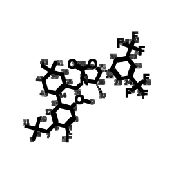 COc1cc(F)c(CC(C)(C)C)cc1C1=C(CN2C(=O)O[C@H](c3cc(C(F)(F)F)cc(C(F)(F)F)c3)[C@@H]2C)CC(C)(C)CC1